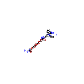 CCCCc1nc2c(N)nc3ccccc3c2n1CCCCNC(=O)CCOCCOCCOCCOCCOCCC(N)=O